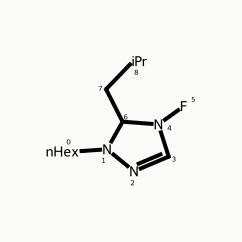 CCCCCCN1N=CN(F)C1CC(C)C